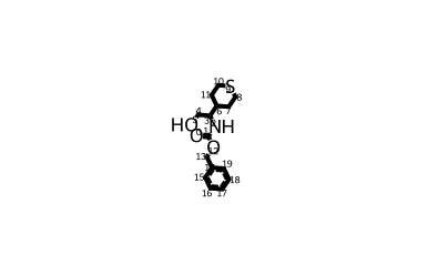 O=C(NC(CO)C1CCSCC1)OCc1ccccc1